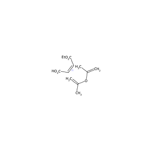 C=C(C)OC(=C)C.CCOC(=O)/C=C\C(=O)O